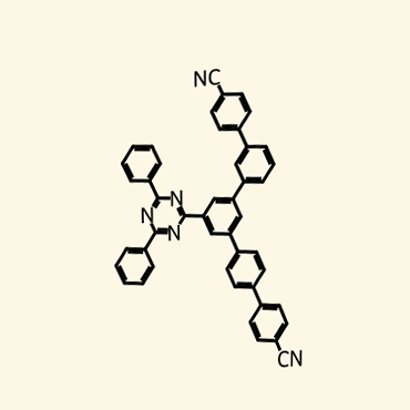 N#Cc1ccc(-c2ccc(-c3cc(-c4cccc(-c5ccc(C#N)cc5)c4)cc(-c4nc(-c5ccccc5)nc(-c5ccccc5)n4)c3)cc2)cc1